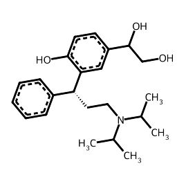 CC(C)N(CC[C@H](c1ccccc1)c1cc(C(O)CO)ccc1O)C(C)C